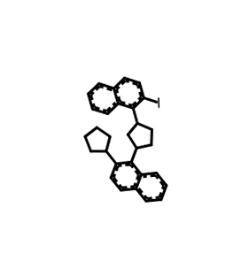 Ic1ccc2ccccc2c1C1CCC(c2c(C3CCCC3)ccc3ccccc23)C1